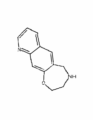 c1cnc2cc3c(cc2c1)CNCCO3